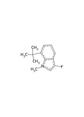 Cn1cc(F)c2cccc(C(C)(C)C)c21